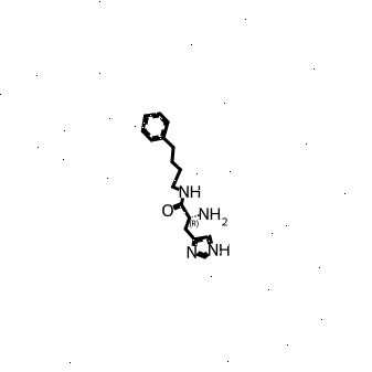 N[C@H](Cc1c[nH]cn1)C(=O)NCCCCc1ccccc1